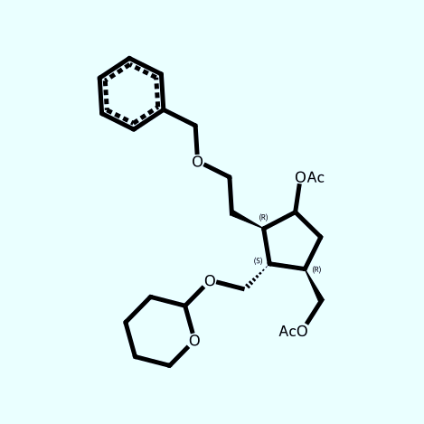 CC(=O)OC[C@@H]1CC(OC(C)=O)[C@H](CCOCc2ccccc2)[C@H]1COC1CCCCO1